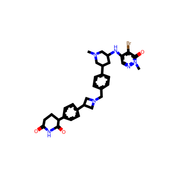 CN1CC(Nc2cnn(C)c(=O)c2Br)CC(c2ccc(CN3CC(c4ccc(C5CCC(=O)NC5=O)cc4)C3)cc2)C1